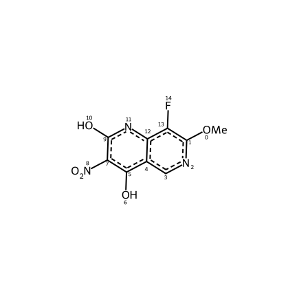 COc1ncc2c(O)c([N+](=O)[O-])c(O)nc2c1F